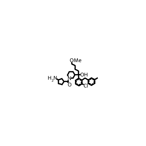 COCCCCC(O)(c1cccc(Cl)c1Cc1cccc(C)c1)C1CCCN(C(=O)C2CCC(N)C2)C1